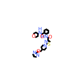 O=C(Nc1ccccc1C(=O)NC1CCOCC1)c1csc(N2CCC(COc3ncccn3)CC2)n1